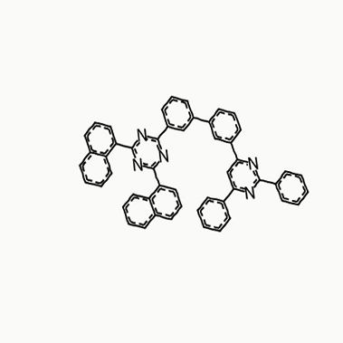 c1ccc(-c2cc(-c3cccc(-c4cccc(-c5nc(-c6cccc7ccccc67)nc(-c6cccc7ccccc67)n5)c4)c3)nc(-c3ccccc3)n2)cc1